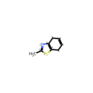 Cc1nc2c(s1)CC=CC2